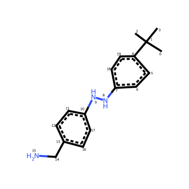 CC(C)(C)c1ccc(NNc2ccc(CN)cc2)cc1